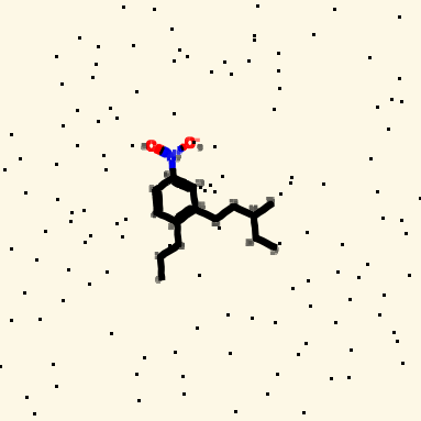 CCCc1ccc([N+](=O)[O-])cc1CCC(C)CC